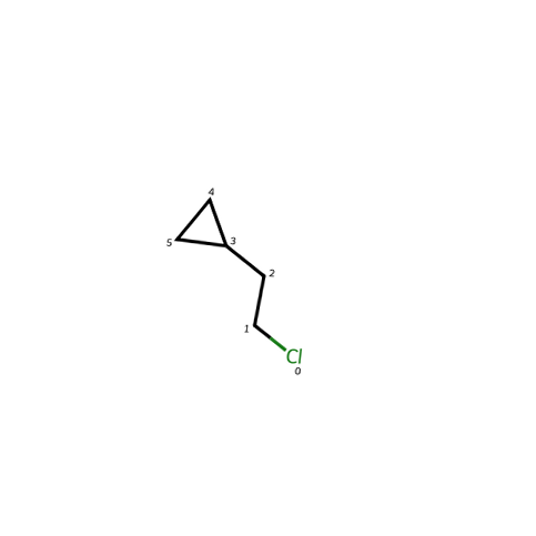 ClCCC1CC1